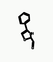 O=CC1NC(c2ccccc2)=CO1